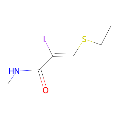 CCS/C=C(\I)C(=O)NC